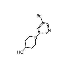 OC1CCN(c2cncc(Br)c2)CC1